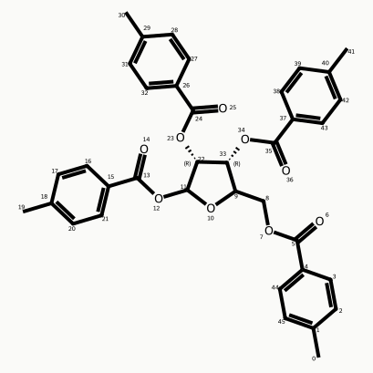 Cc1ccc(C(=O)OCC2OC(OC(=O)c3ccc(C)cc3)[C@H](OC(=O)c3ccc(C)cc3)[C@@H]2OC(=O)c2ccc(C)cc2)cc1